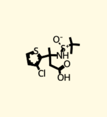 CC(CC(=O)O)(N[S@+]([O-])C(C)(C)C)c1sccc1Cl